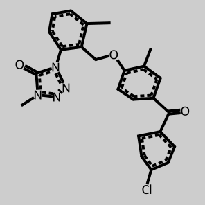 Cc1cc(C(=O)c2ccc(Cl)cc2)ccc1OCc1c(C)cccc1-n1nnn(C)c1=O